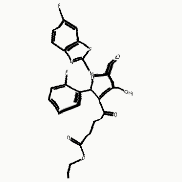 CCOC(=O)CCC(=O)C1=C(O)C(=O)N(c2nc3ccc(F)cc3s2)C1c1ccccc1F